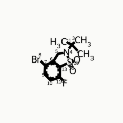 CC(C)(C)N1Cc2c(Br)ccc(F)c2S1(=O)=O